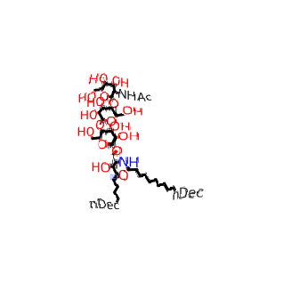 CCCCCCCCCCCCC/C=C/[C@@H](O)[C@H](CO[C@@H]1OC(CO)[C@@H](O[C@@H]2OC(CO)[C@H](O[C@@H]3OC(CO)[C@H](O)[C@H](O)C3NC(C)=O)[C@H](O)C2O)[C@H](O)C1O)NC(=O)CCCCCCCCCCCCCCCCCCC